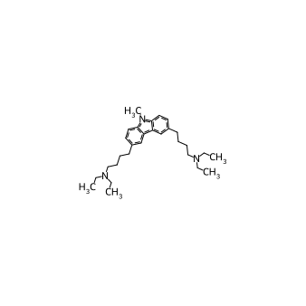 CCN(CC)CCCCc1ccc2c(c1)c1cc(CCCCN(CC)CC)ccc1n2C